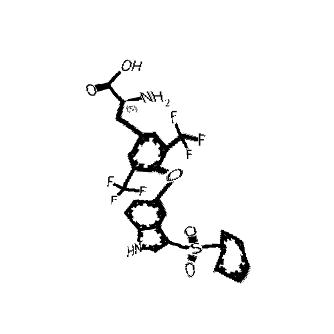 N[C@@H](Cc1cc(C(F)(F)F)c(Oc2ccc3[nH]cc(S(=O)(=O)c4ccccc4)c3c2)c(C(F)(F)F)c1)C(=O)O